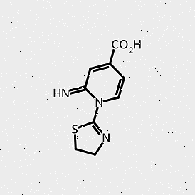 N=c1cc(C(=O)O)ccn1C1=NCCS1